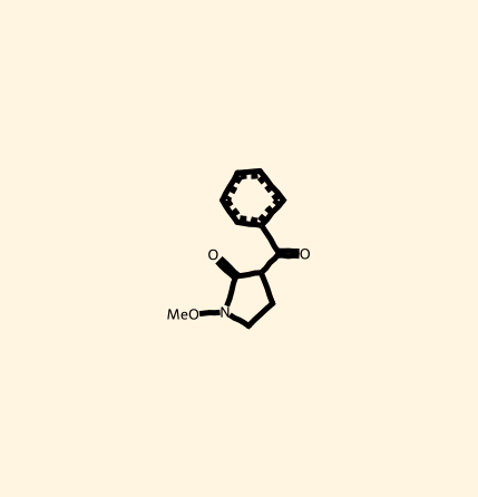 CON1CCC(C(=O)c2ccccc2)C1=O